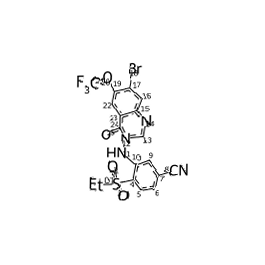 CCS(=O)(=O)c1ccc(C#N)cc1Nn1cnc2cc(Br)c(OC(F)(F)F)cc2c1=O